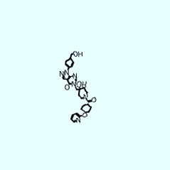 O=c1c2cnn(-c3ccc(CO)cc3)c2ncn1CC1(O)CCN(C(=O)[C@H]2CC[C@@H](Oc3ccccn3)CC2)CC1